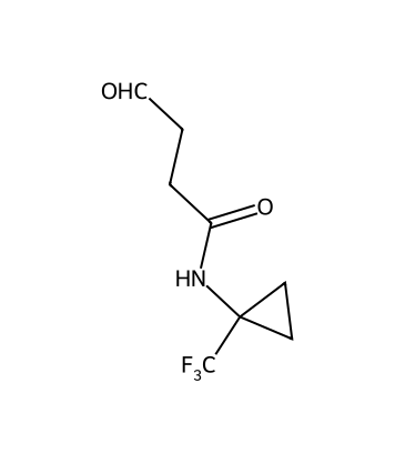 O=CCCC(=O)NC1(C(F)(F)F)CC1